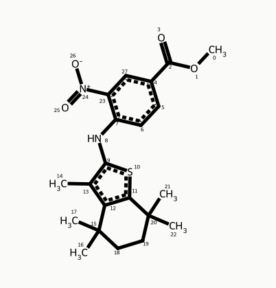 COC(=O)c1ccc(Nc2sc3c(c2C)C(C)(C)CCC3(C)C)c([N+](=O)[O-])c1